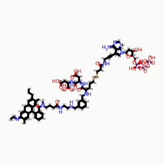 CCCc1cc2c(cc1C)C(c1ccccc1C(=O)N(C)CCCC(=O)NCCNCc1cccc(CNC(CCCSSCCC(=O)NCC#Cc3cn([C@H]4CC(O)[C@@H](COP(=O)(O)OP(=O)(O)OP(=O)(O)O)O4)c4ncnc(N)c34)C(=O)NC(CC(=O)O)C(=O)NC(CC(=O)O)C(=O)O)c1)C1C=C(C)/C(=N/CC)C=C1C2